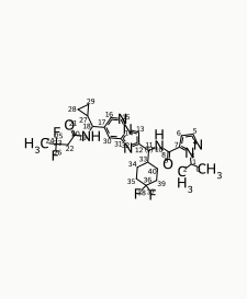 CC(C)n1nccc1C(=O)N[C@H](c1cn2ncc(C(NC(=O)CC(C)(F)F)C3CC3)cc2n1)C1CCC(F)(F)CC1